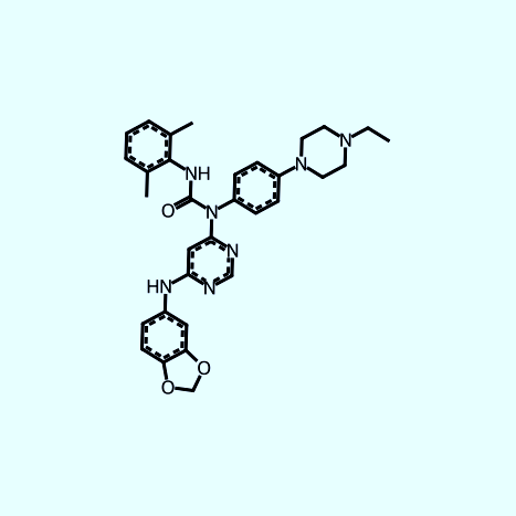 CCN1CCN(c2ccc(N(C(=O)Nc3c(C)cccc3C)c3cc(Nc4ccc5c(c4)OCO5)ncn3)cc2)CC1